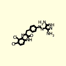 Nc1n[nH]c(N)c1N=Nc1ccc(Cc2nc3c(Cl)c(Cl)ccc3[nH]c2=O)cc1